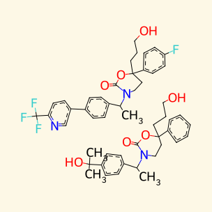 CC(c1ccc(-c2ccc(C(F)(F)F)nc2)cc1)N1CCC(CCCO)(c2ccc(F)cc2)OC1=O.CC(c1ccc(C(C)(C)O)cc1)N1CCC(CCCO)(c2ccccc2)OC1=O